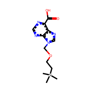 C[Si](C)(C)CCOCn1cnc2c(C(=O)O)ncnc21